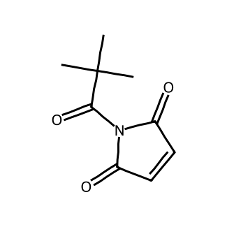 CC(C)(C)C(=O)N1C(=O)C=CC1=O